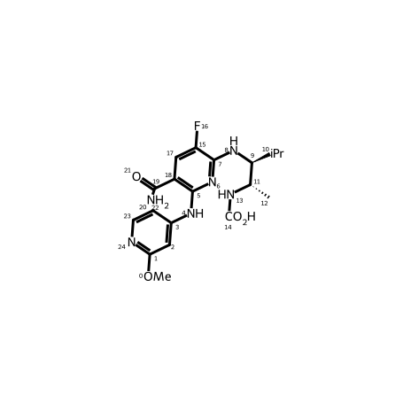 COc1cc(Nc2nc(N[C@@H](C(C)C)[C@H](C)NC(=O)O)c(F)cc2C(N)=O)ccn1